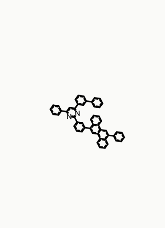 c1ccc(-c2cccc(-c3cc(-c4ccccc4)nc(-c4cccc(-c5cc6c7ccccc7c(-c7ccccc7)cc6c6ccccc56)c4)n3)c2)cc1